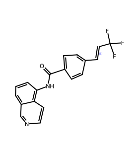 O=C(Nc1cccc2cnccc12)c1ccc(/C=C/C(F)(F)F)cc1